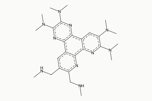 CNCc1cc2c(nc1CNC)c1nc(N(C)C)c(N(C)C)cc1c1nc(N(C)C)c(N(C)C)nc21